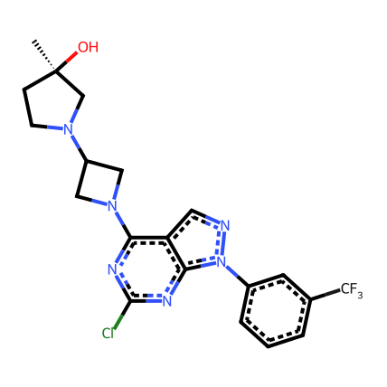 C[C@@]1(O)CCN(C2CN(c3nc(Cl)nc4c3cnn4-c3cccc(C(F)(F)F)c3)C2)C1